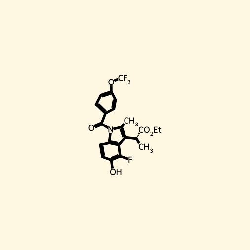 CCOC(=O)[C@H](C)c1c(C)n(C(=O)c2ccc(OC(F)(F)F)cc2)c2ccc(O)c(F)c12